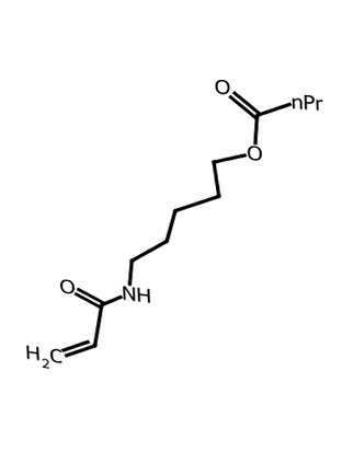 C=CC(=O)NCCCCCOC(=O)CCC